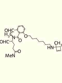 CNC(=O)CCC(C=O)N(C)C(=O)c1c(C=O)cccc1OCCCCCCCNC1(C)C=CC1